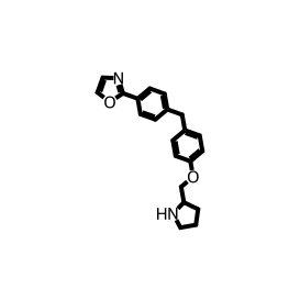 c1coc(-c2ccc(Cc3ccc(OCC4CCCN4)cc3)cc2)n1